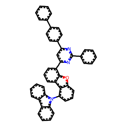 c1ccc(-c2ccc(-c3cc(-c4cccc5c4oc4cccc(-n6c7ccccc7c7ccccc76)c45)nc(-c4ccccc4)n3)cc2)cc1